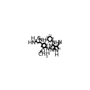 CCOc1cc(/C(=C/C=N)NC)ccc1Nc1nc(NC2CCCCC2)c2c(C#N)c[nH]c2n1